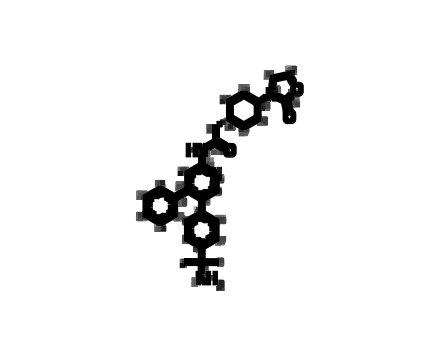 CC(C)(N)c1ccc(-c2cnc(NC(=O)C[C@H]3CC[C@H](N4CCOC4=O)CC3)cc2-c2ccccc2)cc1